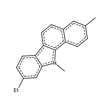 CCc1ccc2c3ccc4cc(C)ccc4c3n(C)c2c1